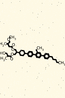 C=C(COC)CC(=O)OCC(COC(=O)C(=C)CO)C1CCC(c2ccc(-c3ccc(-c4ccc(CCCCC)cc4)cc3CC)cc2)CC1